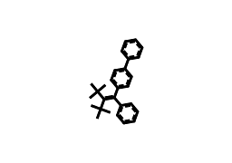 CC(C)(C)C(=C(c1ccccc1)c1ccc(-c2ccccc2)cc1)C(C)(C)C